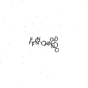 COC(=O)c1ccc(Cl)nc1NCc1ccc(-c2nc(C(F)(F)F)cn2C)cc1